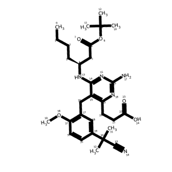 CCCC[C@@H](CC(=O)OC(C)(C)C)Nc1nc(N)nc(CCC(=O)O)c1Cc1cc(C(C)(C)C#N)ccc1OC